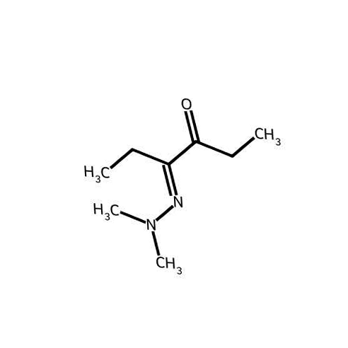 CCC(=O)C(CC)=NN(C)C